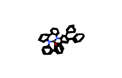 c1ccc(-c2cc3c(cc2-c2ccccc2)N2c4ccccc4-c4ccccc4N4c5ccccc5-c5ccccc5[Si]42c2ccccc2-3)cc1